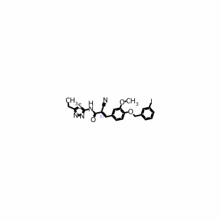 CCc1nnc(NC(=O)/C(C#N)=C/c2ccc(OCc3cccc(I)c3)c(OC)c2)s1